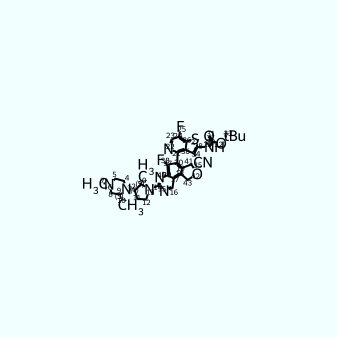 C[C@H]1[C@@H](N2CCN(C)C[C@@H]2C)CCN1c1ncc2c3c(c(-c4ncc(F)c5sc(NC(=O)OC(C)(C)C)c(C#N)c45)c(F)c2n1)COC3